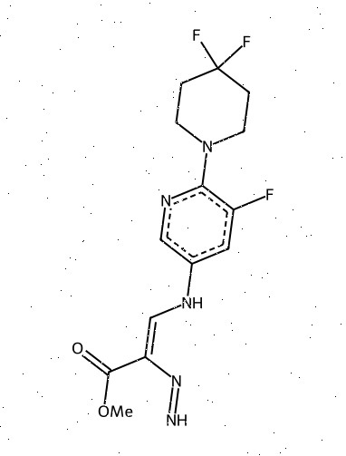 COC(=O)/C(=C/Nc1cnc(N2CCC(F)(F)CC2)c(F)c1)N=N